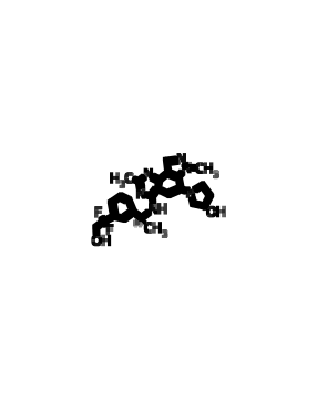 Cc1nc(N[C@H](C)c2cccc(C(F)(F)CO)c2)c2cc(N3CCC(O)C3)c3c(cnn3C)c2n1